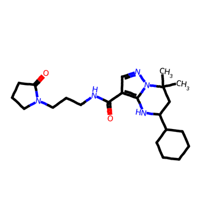 CC1(C)CC(C2CCCCC2)Nc2c(C(=O)NCCCN3CCCC3=O)cnn21